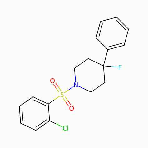 O=S(=O)(c1ccccc1Cl)N1CCC(F)(c2ccccc2)CC1